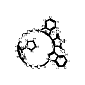 O=C1NC(=O)C2=C1c1cn(c3ccccc13)CCCCc1ccc(c(N3CCCC3)n1)CCCCn1cc2c2ccccc21